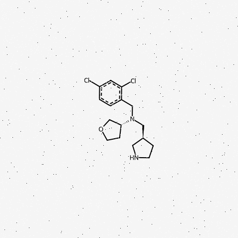 Clc1ccc(CN(C[C@H]2CCNC2)[C@@H]2CCOC2)c(Cl)c1